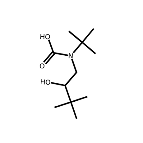 CC(C)(C)C(O)CN(C(=O)O)C(C)(C)C